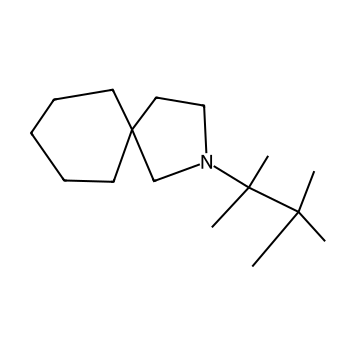 CC(C)(C)C(C)(C)N1CCC2(CCCCC2)C1